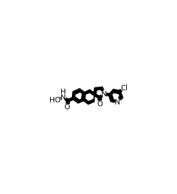 O=C(NO)c1ccc2c(c1)CC[C@]1(CCN(c3cncc(Cl)c3)C1=O)C2